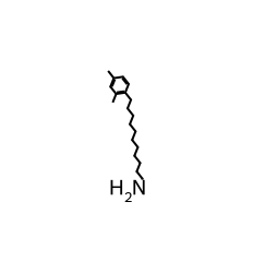 Cc1ccc(CCCCCCCCCCCN)c(C)c1